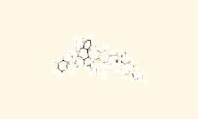 Cc1nc2c(S(=O)(=O)c3ccccc3)nc3[nH]ccc3c2n1C1CCC(CS(=O)(=O)N2CCN(C)CC2)CC1